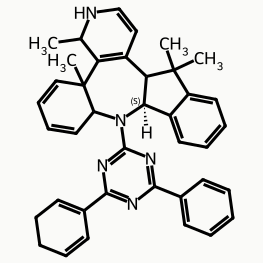 CC1NC=CC2=C1C1(C)C=CC=CC1N(c1nc(C3=CCCC=C3)nc(-c3ccccc3)n1)[C@@H]1c3ccccc3C(C)(C)C21